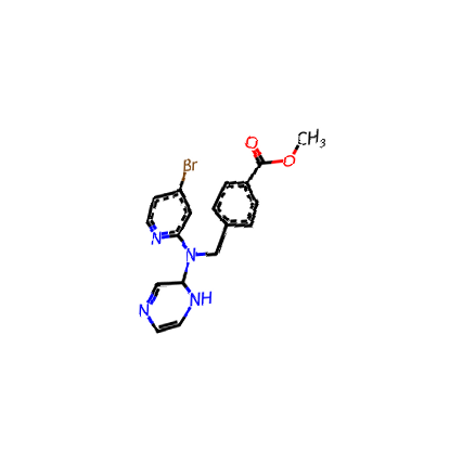 COC(=O)c1ccc(CN(c2cc(Br)ccn2)C2C=NC=CN2)cc1